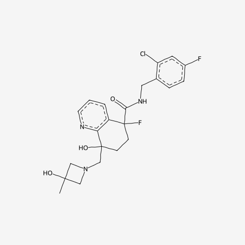 CC1(O)CN(CC2(O)CCC(F)(C(=O)NCc3ccc(F)cc3Cl)c3cccnc32)C1